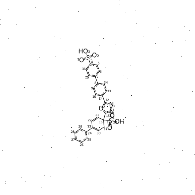 O=S(=O)(O)c1ccc(-c2ccc(-c3nnc(C4(S(=O)(=O)O)C=CC(c5ccccc5)=CC4)o3)cc2)cc1